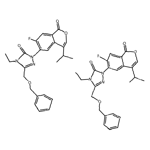 CCn1c(COCc2ccccc2)nn(-c2cc3c(C(C)C)coc(=O)c3cc2F)c1=O.CCn1c(COCc2ccccc2)nn(-c2cc3c(C(C)C)coc(=O)c3cc2F)c1=O